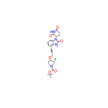 Cn1c(=O)n(C2CCC(=O)NC2=O)c2cccc(C#CCO[C@@H]3CCN(C(=O)OC(C)(C)C)C[C@H]3F)c21